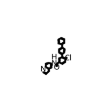 O=C(Nc1ccc2ncccc2c1)c1ccc(Cl)c(-c2ccc(-c3ccccc3)cc2)c1